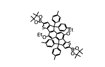 CCOc1cc2c3c(c(OCC)cc2c2c1-c1sc(B4OC(C)(C)C(C)(C)O4)cc1C2(c1ccc(C)cc1)c1ccc(C)cc1)-c1sc(B2OC(C)(C)C(C)(C)O2)cc1C3(c1ccc(C)cc1)c1ccc(C)cc1